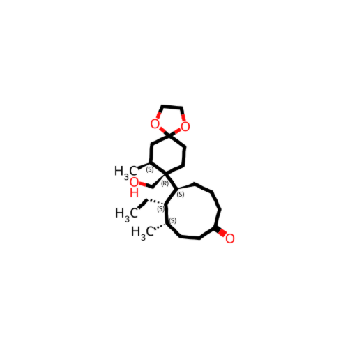 CC[C@H]1[C@@H](C)CCC(=O)CCC[C@@H]1[C@@]1(CO)CCC2(C[C@@H]1C)OCCO2